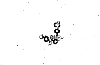 CN1CCCN(c2ccc(C(=O)Nc3c(O)cccc3C(=O)Nc3ccc(Cl)cc3)cc2)CC1